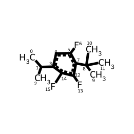 CC(C)c1cc(F)c(C(C)(C)C)c(F)c1F